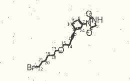 O=C1CNC(=O)N1c1cccc(C#CCCOCCCCCCBr)c1